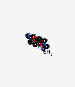 C=C/C=N\c1c(C)n(-c2cccc3c2oc2c([Si](c4ccccc4)(c4ccccc4)c4cccc5c4sc4c(-n6c7ccccc7c7ncccc76)cccc45)cccc23)c2ccccc12